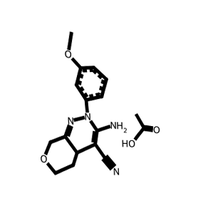 CC(=O)O.COc1cccc(N2N=C3COCCC3C(C#N)=C2N)c1